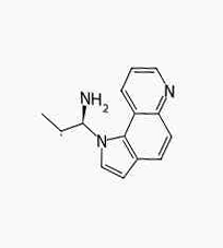 C[CH][C@@H](N)n1ccc2ccc3ncccc3c21